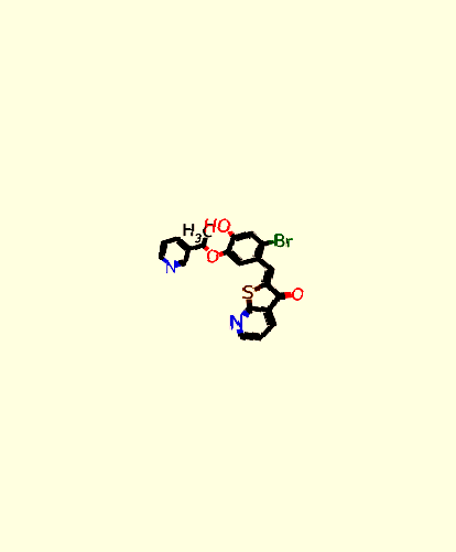 CC(Oc1cc(/C=C2\Sc3ncccc3C2=O)c(Br)cc1O)c1cccnc1